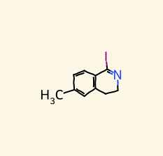 Cc1ccc2c(c1)CCN=C2I